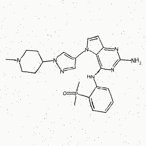 CN1CCC(n2cc(-n3ccc4nc(N)nc(Nc5ccccc5P(C)(C)=O)c43)cn2)CC1